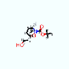 CC(C)(C)OC(=O)N1O[C@]2(CCO)CC[C@H]1CC2